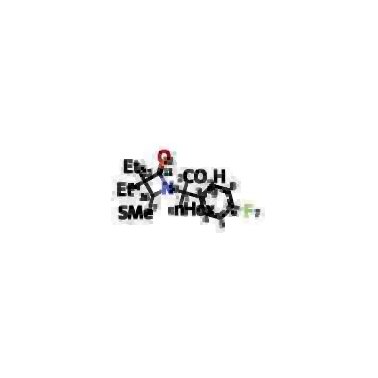 CCCCCCC(C(=O)O)(c1ccc(F)cc1)N1C(=O)C(CC)(CC)C1SC